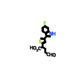 O=CCCC(C(=O)O)c1cc(-c2c[nH]c3cc(F)ccc23)cs1